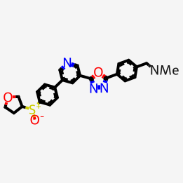 CNCc1ccc(-c2nnc(-c3cncc(-c4ccc([S+]([O-])C5CCOC5)cc4)c3)o2)cc1